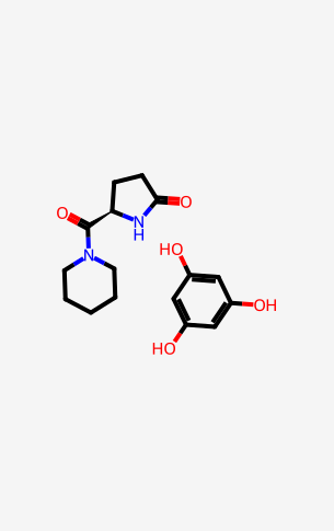 O=C1CC[C@H](C(=O)N2CCCCC2)N1.Oc1cc(O)cc(O)c1